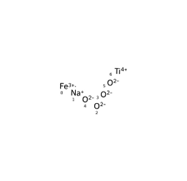 [Fe+3].[Na+].[O-2].[O-2].[O-2].[O-2].[Ti+4]